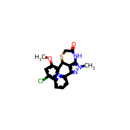 COc1cc(Cl)ccc1C1SCC(=O)Nc2c1c(-c1ccccn1)nn2C